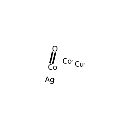 [Ag].[Co].[Cu].[O]=[Co]